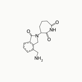 NCc1cccc2c1CN(C1CCCC(=O)NC1=O)C2=O